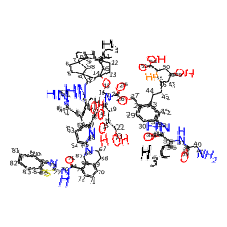 C/C(NCC12CCC(C)(CC3(C)CCC(OCN(CCC(O)CO)C(=O)OCc4ccc(NC(=O)C(C)NC(=O)CN)cc4CCC4CC(O)CC(C(=O)O)P4)(C3)C1)C2)=C(/C=N)c1ccc(N2CCc3cccc(C(=O)Nc4nc5ccccc5s4)c3C2)nc1C(=O)O